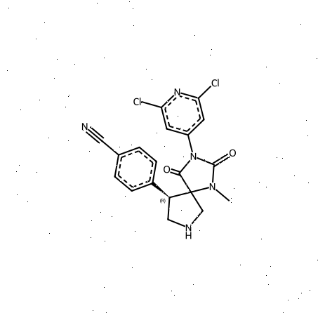 CN1C(=O)N(c2cc(Cl)nc(Cl)c2)C(=O)C12CNC[C@H]2c1ccc(C#N)cc1